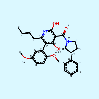 CCCCc1nc(O)c(C(=O)N2CC[C@@H](c3ccccc3)C2)c(O)c1-c1cc(OC)ccc1OC